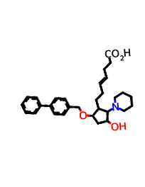 O=C(O)CCC=CCCC1C(OCc2ccc(-c3ccccc3)cc2)CC(O)C1N1CCCCC1